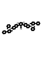 Cc1ccccc1N(c1ccc2cc3c(cc2c1)oc1cc2oc4cc5cc(N(c6ccccc6C)c6cc(-c7ccccc7)ccc6C)ccc5cc4c2c(C#N)c13)c1cc(-c2ccccc2)ccc1C